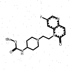 CC(C)(C)OC(=O)NC1CCN(CCn2c(=O)ccc3ncc(F)cc32)CC1